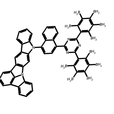 Bc1c(B)c(B)c(-c2nc(-c3c(B)c(B)c(B)c(B)c3B)nc(-c3ccc(-n4c5ccccc5c5cc6c7cccc8c9ccccc9n(c6cc54)c87)c4ccccc34)n2)c(B)c1B